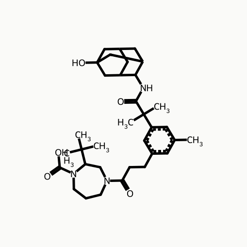 Cc1cc(CCC(=O)N2CCCN(C(=O)O)C(C(C)(C)C)C2)cc(C(C)(C)C(=O)NC2C3CC4CC2CC(O)(C4)C3)c1